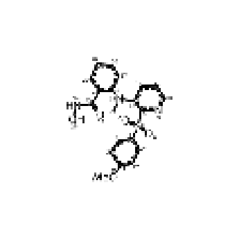 COc1ccc(S(=O)(=O)c2ncccc2N(C)c2ccccc2C(=O)NO)cc1